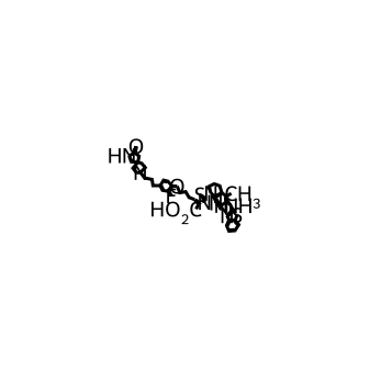 Cc1c(Nc2nc3ccccc3s2)nnc2c1CCCN2c1nc(C(=O)O)c(CCCOc2ccc(CCCN3CCC4(CC3)CNC(=O)C4)cc2F)s1